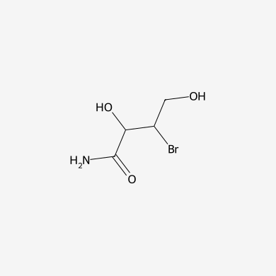 NC(=O)C(O)C(Br)CO